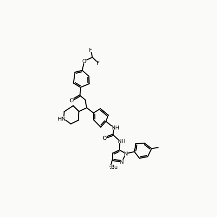 Cc1ccc(-n2nc(C(C)(C)C)cc2NC(=O)Nc2ccc(C(CC(=O)c3ccc(OC(F)F)cc3)C3CCNCC3)cc2)cc1